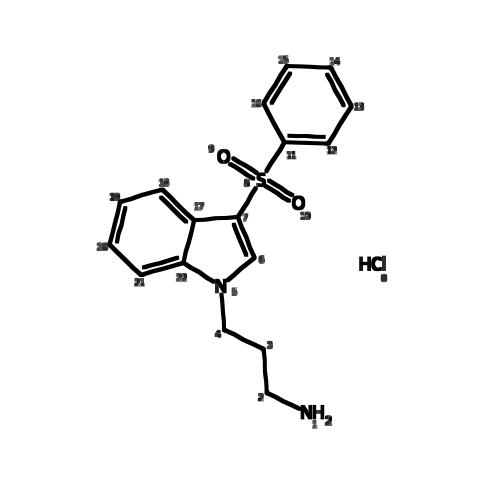 Cl.NCCCn1cc(S(=O)(=O)c2ccccc2)c2ccccc21